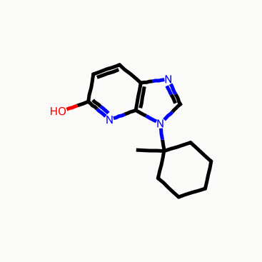 CC1(n2cnc3ccc(O)nc32)CCCCC1